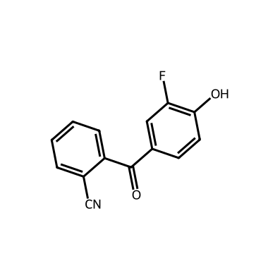 N#Cc1ccccc1C(=O)c1ccc(O)c(F)c1